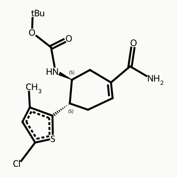 Cc1cc(Cl)sc1[C@H]1CC=C(C(N)=O)C[C@@H]1NC(=O)OC(C)(C)C